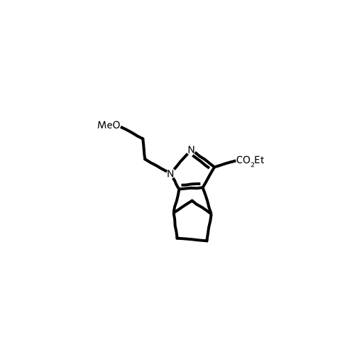 CCOC(=O)c1nn(CCOC)c2c1C1CCC2C1